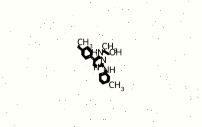 CCc1ccc(-c2cnc(Nc3cccc(C)c3)nc2N[C@H](C)CO)cc1